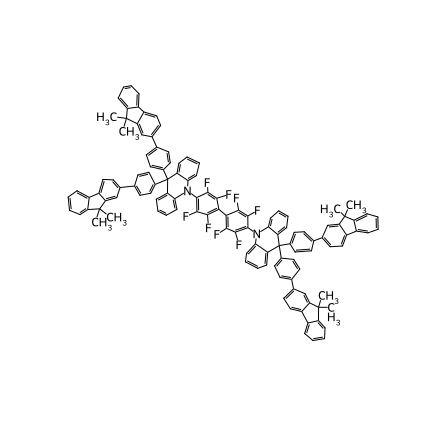 CC1(C)c2ccccc2-c2ccc(-c3ccc(C4(c5ccc(-c6ccc7c(c6)C(C)(C)c6ccccc6-7)cc5)c5ccccc5N(c5c(F)c(F)c(-c6c(F)c(F)c(N7c8ccccc8C(c8ccc(-c9ccc%10c(c9)C(C)(C)c9ccccc9-%10)cc8)(c8ccc(-c9ccc%10c(c9)C(C)(C)c9ccccc9-%10)cc8)c8ccccc87)c(F)c6F)c(F)c5F)c5ccccc54)cc3)cc21